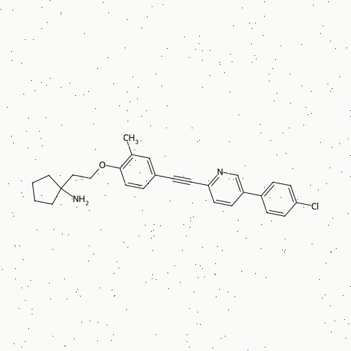 Cc1cc(C#Cc2ccc(-c3ccc(Cl)cc3)cn2)ccc1OCCC1(N)CCCC1